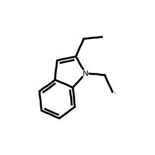 [CH2]Cn1c(CC)cc2ccccc21